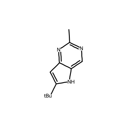 Cc1ncc2[nH]c(C(C)(C)C)cc2n1